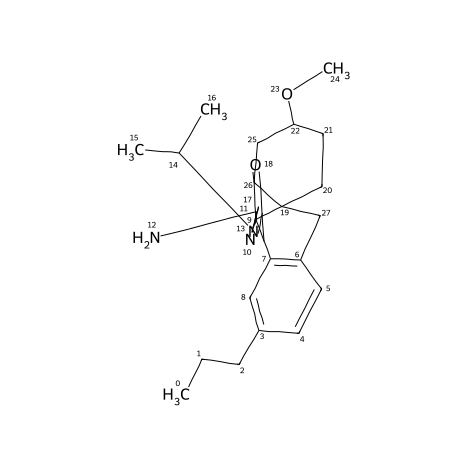 CCCc1ccc2c(c1)C1(N=C(N)N(C(C)C)C1=O)C1(CCC(OC)CC1)C2